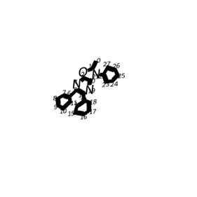 C=C1Oc2nc(-c3ccccc3)c(-c3ccccc3)nc2N1c1ccccc1